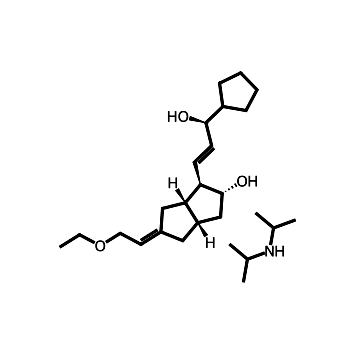 CC(C)NC(C)C.CCOCC=C1C[C@H]2C[C@@H](O)[C@H](C=C[C@@H](O)C3CCCC3)[C@H]2C1